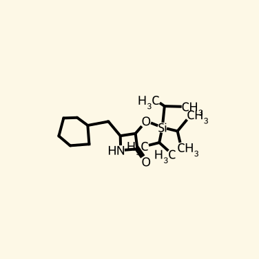 CC(C)[Si](OC1C(=O)NC1CC1CCCCC1)(C(C)C)C(C)C